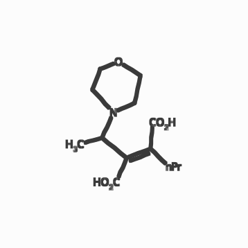 CCCC(C(=O)O)=C(C(=O)O)C(C)N1CCOCC1